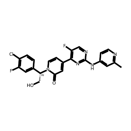 Cc1cc(Nc2ncc(F)c(-c3ccn([C@H](CO)c4ccc(Cl)c(F)c4)c(=O)c3)n2)ccn1